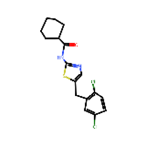 O=C(Nc1ncc(Cc2cc(Cl)ccc2Cl)s1)C1CCCCC1